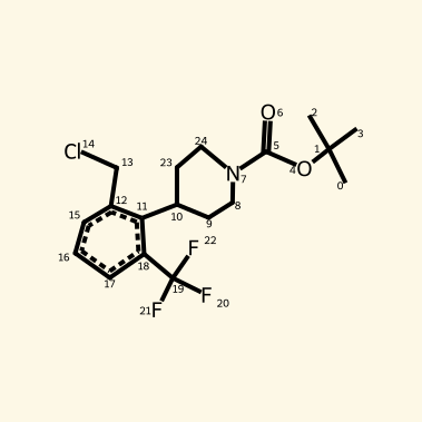 CC(C)(C)OC(=O)N1CCC(c2c(CCl)cccc2C(F)(F)F)CC1